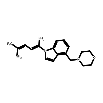 N/C(=C\C=C(/N)n1ccc2c(CN3CCOCC3)cccc21)C(F)(F)F